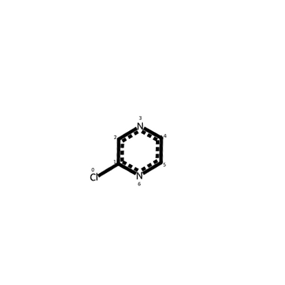 Clc1cn[c]cn1